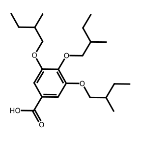 CCC(C)COc1cc(C(=O)O)cc(OCC(C)CC)c1OCC(C)CC